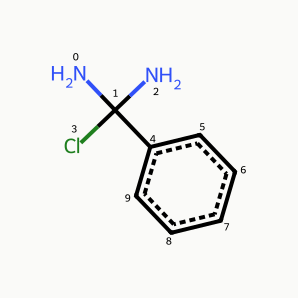 NC(N)(Cl)c1ccccc1